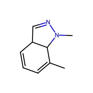 CC1=CC=CC2C=NN(C)C12